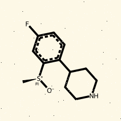 C[S@+]([O-])c1cc(F)ccc1C1CCNCC1